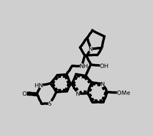 COc1ccc2nccc(C(O)CN3C4CCC3CC(NCc3ccc5c(c3)NC(=O)CS5)C4)c2n1